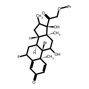 CC(C)OCC(=O)[C@@]1(O)C(C)C[C@H]2[C@@H]3CC(F)C4=CC(=O)C=C[C@]4(C)[C@@]3(Br)C(O)C[C@@]21C